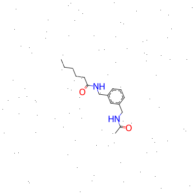 CCCCCC(=O)NCc1cccc(CNC(C)=O)c1